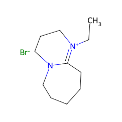 CC[N+]1=C2CCCCCN2CCC1.[Br-]